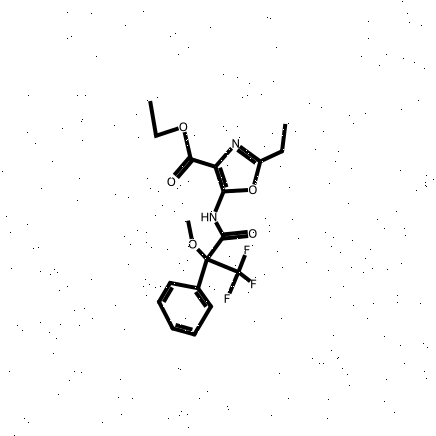 CCOC(=O)c1nc(CC)oc1NC(=O)C(OC)(c1ccccc1)C(F)(F)F